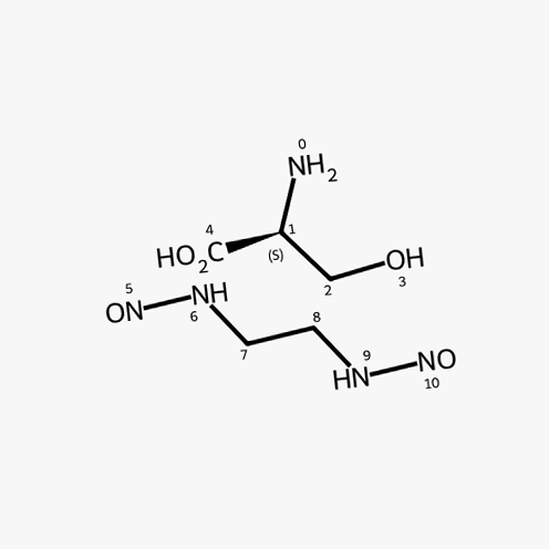 N[C@@H](CO)C(=O)O.O=NNCCNN=O